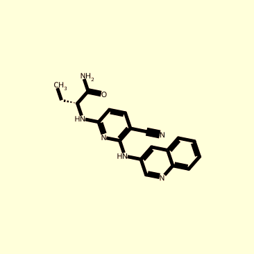 CC[C@@H](Nc1ccc(C#N)c(Nc2cnc3ccccc3c2)n1)C(N)=O